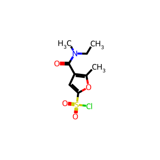 CCN(C)C(=O)c1cc(S(=O)(=O)Cl)oc1C